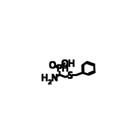 NC(CSCc1ccccc1)[PH](=O)O